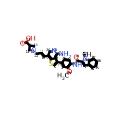 COc1cc(-c2csc3c(C=CCN4CC(C(=O)O)C4)cnc(N)c23)ccc1NC(=O)c1cc2ccccc2n1C